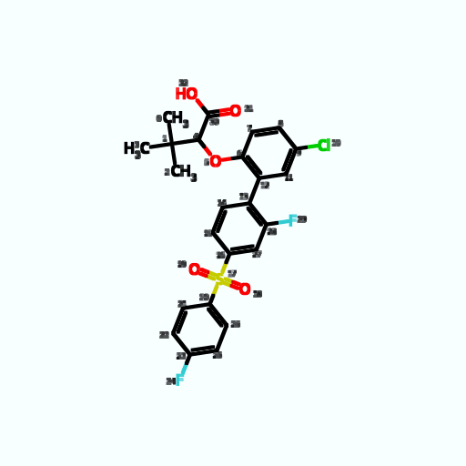 CC(C)(C)C(Oc1ccc(Cl)cc1-c1ccc(S(=O)(=O)c2ccc(F)cc2)cc1F)C(=O)O